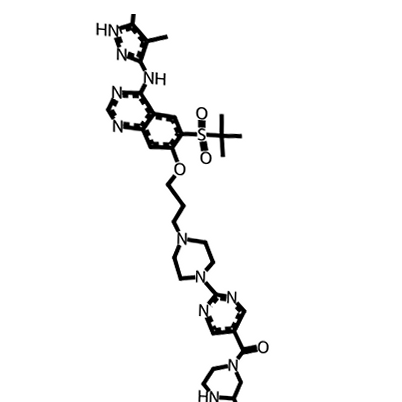 Cc1[nH]nc(Nc2ncnc3cc(OCCCN4CCN(c5ncc(C(=O)N6CCNC(C)C6)cn5)CC4)c(S(=O)(=O)C(C)(C)C)cc23)c1C